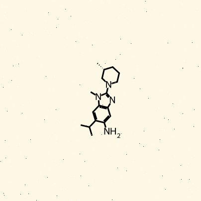 CC(C)c1cc2c(cc1N)nc(N1CCC[C@@H](C)C1)n2C